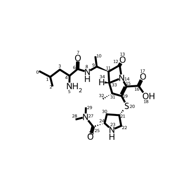 CC(C)CC(N)C(=O)NC(C)[C@H]1C(=O)N2C(C(=O)O)=C(S[C@@H]3CN[C@H](C(=O)N(C)C)C3)[C@H](C)[C@H]12